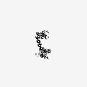 COC(=O)N[C@H](C(=O)N1CN(S(=O)(=O)c2ccccc2)C[C@H]1c1ncc(-c2ccc(-c3ccc(-c4cnc([C@@H]5CCCN5C(=O)[C@H](C(C)C)N(C)C(=O)OC)[nH]4)cc3)cc2)[nH]1)C(C)C